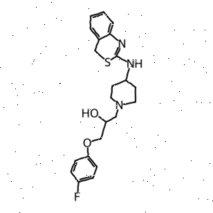 OC(COc1ccc(F)cc1)CN1CCC(NC2=Nc3ccccc3CS2)CC1